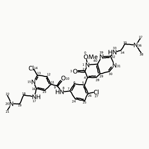 COn1c(=O)c(-c2cc(NC(=O)c3cc(Cl)nc(NCCN(C)C)c3)ccc2Cl)cc2cnc(NCCN(C)C)nc21